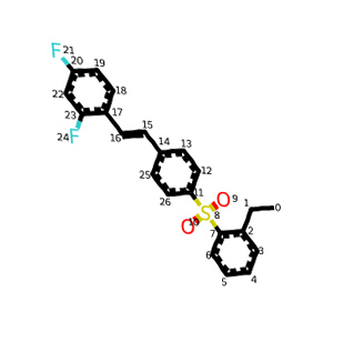 CCc1ccccc1S(=O)(=O)c1ccc(/C=C/c2ccc(F)cc2F)cc1